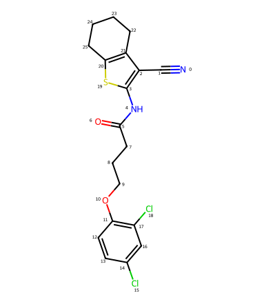 N#Cc1c(NC(=O)CCCOc2ccc(Cl)cc2Cl)sc2c1CCCC2